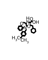 CC(C)c1ccc(CN2C(=O)C(N[C@H](CCC3CCCCC3)C(=O)O)COc3ccccc32)cc1